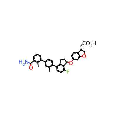 Cc1cc(-c2cccc(C(N)=O)c2C)ccc1-c1ccc(F)c2c1CC[C@H]2Oc1ccc2c(c1)OC[C@H]2CC(=O)O